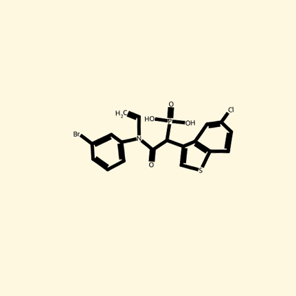 C=CN(C(=O)C(c1csc2ccc(Cl)cc12)P(=O)(O)O)c1cccc(Br)c1